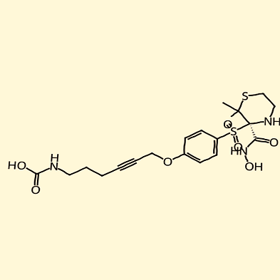 CC1(C)SCCN[C@@]1(C(=O)NO)S(=O)(=O)c1ccc(OCC#CCCCNC(=O)O)cc1